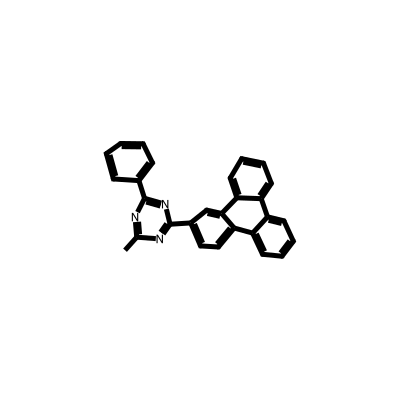 Cc1nc(-c2ccccc2)nc(-c2ccc3c4ccccc4c4ccccc4c3c2)n1